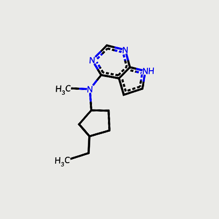 CCC1CCC(N(C)c2ncnc3[nH]ccc23)C1